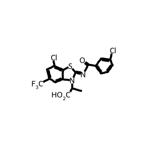 CC(C(=O)O)n1/c(=N/C(=O)c2cccc(Cl)c2)sc2c(Cl)cc(C(F)(F)F)cc21